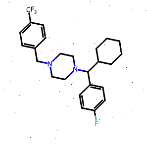 Fc1ccc(C(C2CCCCC2)N2CCN(Cc3ccc(C(F)(F)F)cc3)CC2)cc1